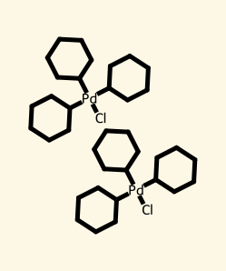 [Cl][Pd]([CH]1CCCCC1)([CH]1CCCCC1)[CH]1CCCCC1.[Cl][Pd]([CH]1CCCCC1)([CH]1CCCCC1)[CH]1CCCCC1